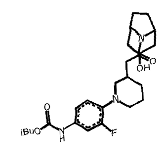 CC(C)COC(=O)Nc1ccc(N2CCCC(CC(=O)N3C4CCC3CC(O)C4)C2)c(F)c1